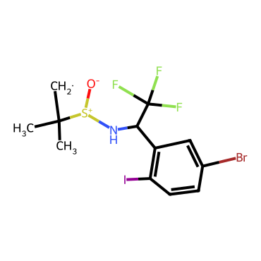 [CH2]C(C)(C)[S+]([O-])NC(c1cc(Br)ccc1I)C(F)(F)F